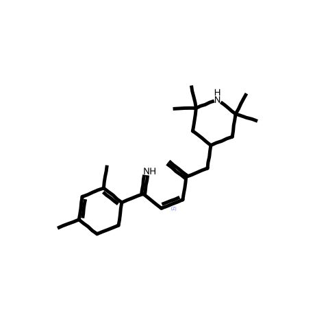 C=C(/C=C\C(=N)C1=C(C)C=C(C)CC1)CC1CC(C)(C)NC(C)(C)C1